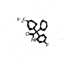 NC(=O)C(c1ccccc1)(c1ccc(F)cc1)c1ccc(C(F)(F)F)cc1